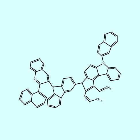 C=Cc1c(/C=C\C)n(-c2ccc3c(c2)c2ccccc2n3-c2nc3ccccc3nc2-c2cccc3ccccc23)c2ccc3c(c4ccccc4n3-c3ccc4ccccc4c3)c12